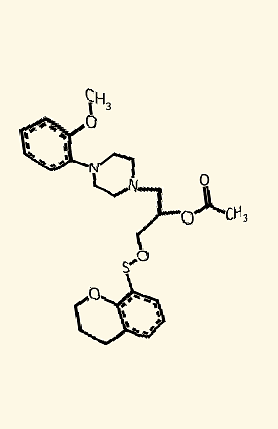 COc1ccccc1N1CCN(CC(COSc2cccc3c2OCCC3)OC(C)=O)CC1